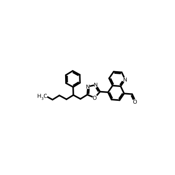 CCCCC(Cc1nnc(-c2ccc(C=O)c3ncccc23)o1)c1ccccc1